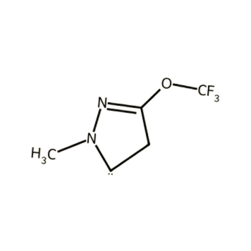 CN1[C]CC(OC(F)(F)F)=N1